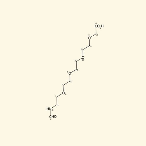 O=CNCCOCCOCCOCCOCC(=O)O